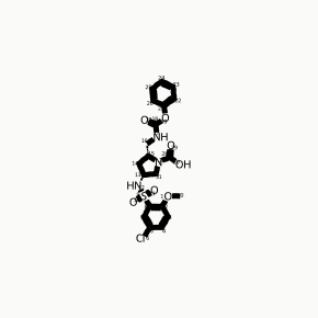 COc1ccc(Cl)cc1S(=O)(=O)N[C@@H]1C[C@H](CNC(=O)Oc2ccccc2)N(C(=O)O)C1